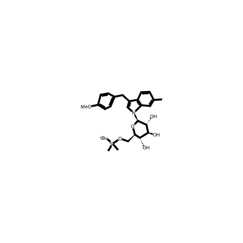 COc1ccc(Cc2cn([C@@H]3O[C@H](CO[Si](C)(C)C(C)(C)C)[C@@H](O)[C@H](O)[C@H]3O)c3cc(C)ccc23)cc1